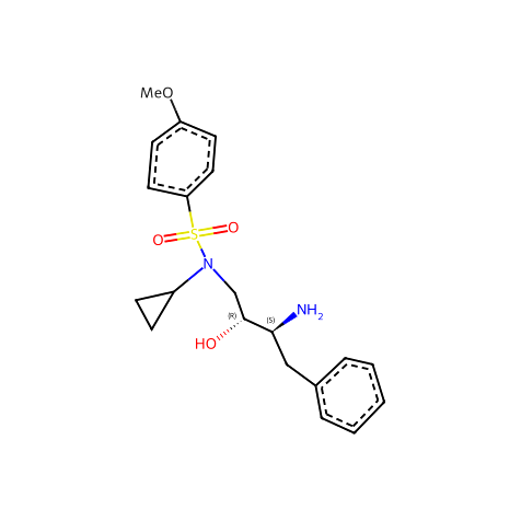 COc1ccc(S(=O)(=O)N(C[C@@H](O)[C@@H](N)Cc2ccccc2)C2CC2)cc1